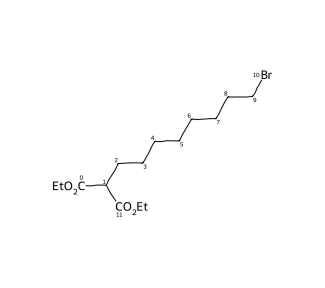 CCOC(=O)C(CCCCCCCCBr)C(=O)OCC